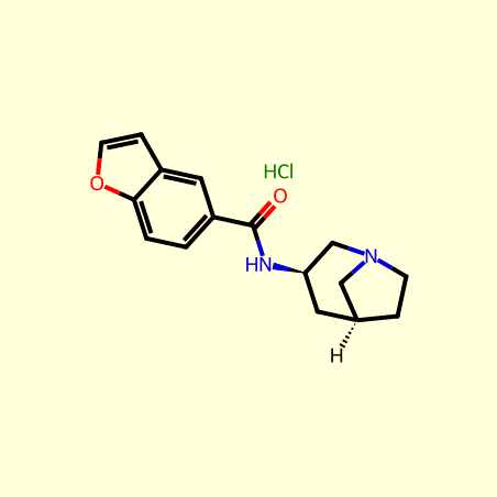 Cl.O=C(N[C@@H]1C[C@@H]2CCN(C2)C1)c1ccc2occc2c1